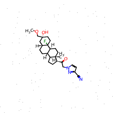 COC[C@@]1(O)CC[C@@]2(F)[C@H](CC[C@H]3[C@@H]4CC[C@H](C(=O)Cn5ccc(C#N)n5)[C@@]4(C)CC[C@@H]32)C1